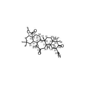 COC(=O)[C@]12CCC(C)(C)CC1C1NC(=O)C[C@@H]3[C@@]4(C)C=C(C#N)C(=O)C(C)(C)[C@@H]4CC[C@@]3(C)[C@]1(C)CC2